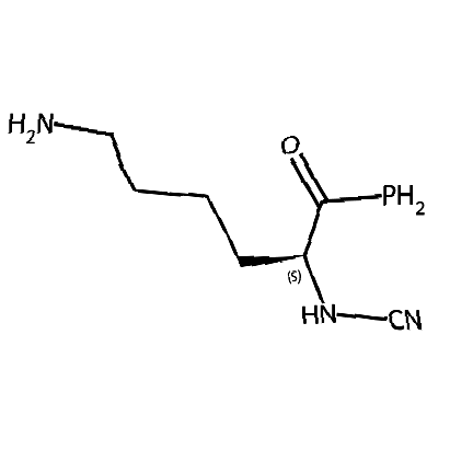 N#CN[C@@H](CCCCN)C(=O)P